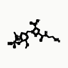 COc1cc(Cn2nc(C(=O)NCCN)cc2[N+](=O)[O-])cc(OC)c1OP(=O)(O)O